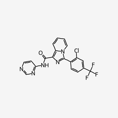 O=C(Nc1ccncn1)c1nc(-c2ccc(C(F)(F)F)cc2Cl)n2ccccc12